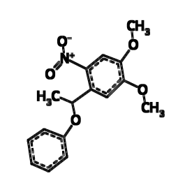 COc1cc(C(C)Oc2ccccc2)c([N+](=O)[O-])cc1OC